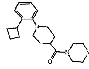 CN1CCN(C(=O)C2CCN(c3cc[c]cc3C3CCC3)CC2)CC1